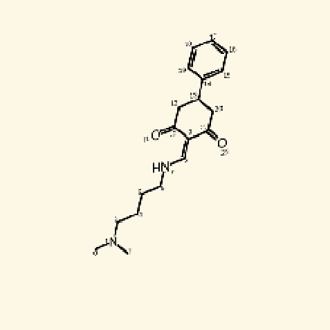 CN(C)CCCCNC=C1C(=O)CC(c2ccccc2)CC1=O